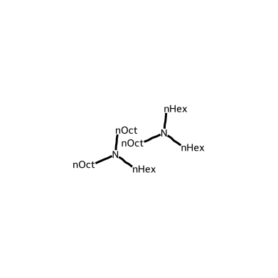 CCCCCCCCN(CCCCCC)CCCCCC.CCCCCCCCN(CCCCCC)CCCCCCCC